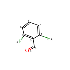 O=Cc1c(F)[c]ccc1F